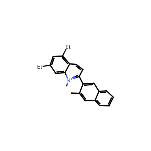 CCc1cc(CC)c2ccc(-c3cc4ccccc4cc3C)[n+](C)c2c1